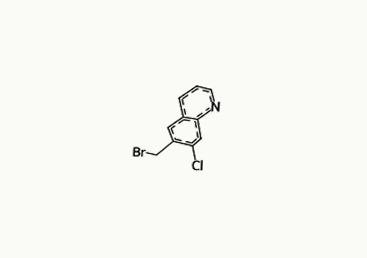 Clc1cc2ncccc2cc1CBr